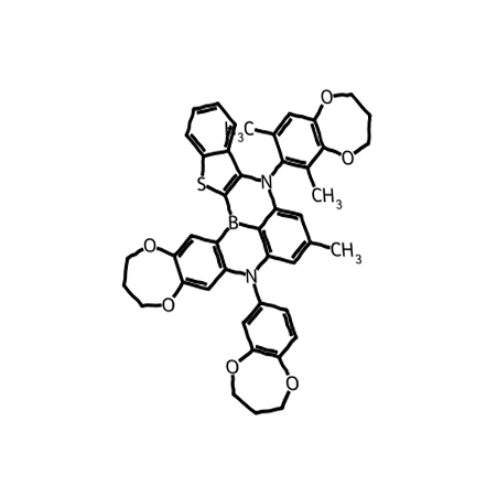 Cc1cc2c3c(c1)N(c1c(C)cc4c(c1C)OCCCO4)c1c(sc4ccccc14)B3c1cc3c(cc1N2c1ccc2c(c1)OCCCO2)OCCCO3